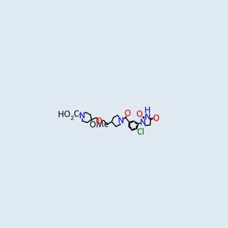 COC1(COCCC2CCN(C(=O)c3ccc(Cl)c(N4CCC(=O)NC4=O)c3)CC2)CCN(C(=O)O)CC1